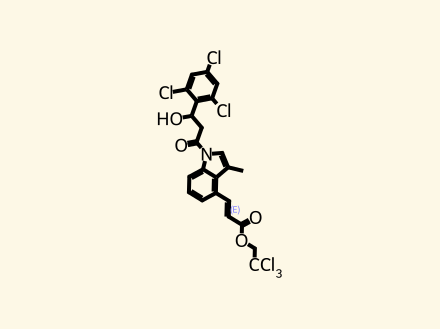 Cc1cn(C(=O)CC(O)c2c(Cl)cc(Cl)cc2Cl)c2cccc(/C=C/C(=O)OCC(Cl)(Cl)Cl)c12